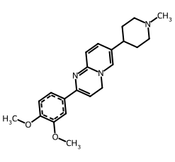 COc1ccc(C2=CCN3C=C(C4CCN(C)CC4)C=CC3=N2)cc1OC